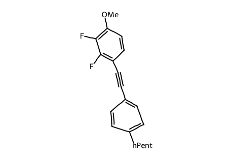 CCCCCc1ccc(C#Cc2ccc(OC)c(F)c2F)cc1